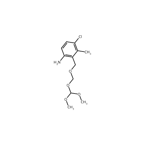 COC(OC)OCOCc1c(N)ccc(Cl)c1C